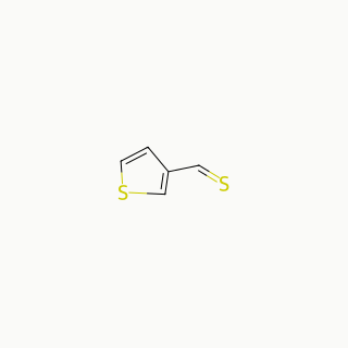 S=Cc1ccsc1